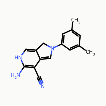 Cc1cc(C)cc(N2C=C3C(=CNC(N)=C3C#N)C2)c1